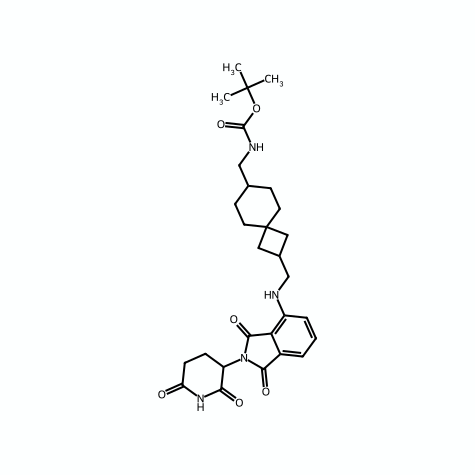 CC(C)(C)OC(=O)NCC1CCC2(CC1)CC(CNc1cccc3c1C(=O)N(C1CCC(=O)NC1=O)C3=O)C2